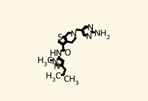 CC(C)Cc1cc(NC(=O)c2csc3c2CCN(Cc2cnc(N)nc2)C3)n(C)n1